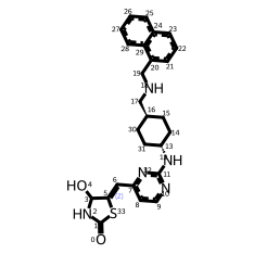 O=C1NC(O)/C(=C/c2ccnc(N[C@H]3CC[C@H](CNCc4cccc5ccccc45)CC3)n2)S1